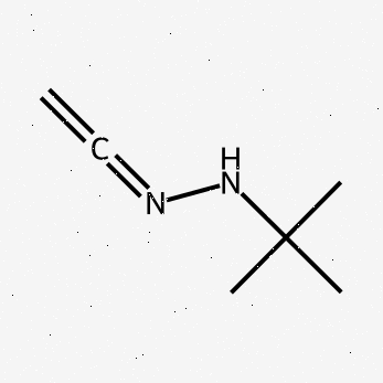 C=C=NNC(C)(C)C